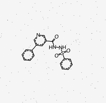 O=C(NNS(=O)(=O)c1ccccc1)c1cncc(-c2ccccc2)c1